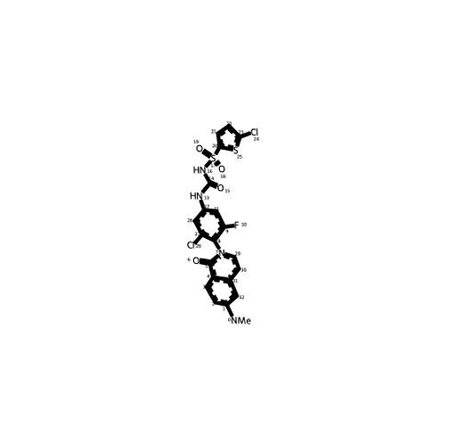 CNc1ccc2c(=O)n(-c3c(F)cc(NC(=O)NS(=O)(=O)c4ccc(Cl)s4)cc3Cl)ccc2c1